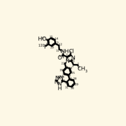 CCCc1nc(Cl)c(C(=O)NCCc2ccc(O)c([131I])c2)n1Cc1ccc(-c2ccccc2-c2nnn[nH]2)cc1